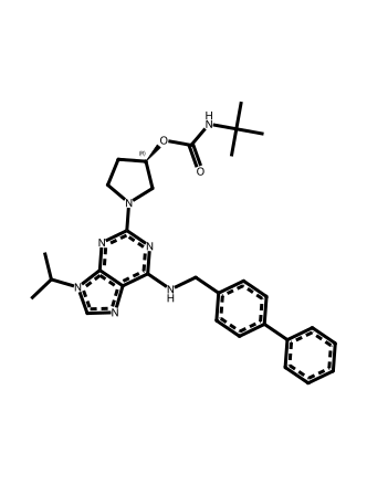 CC(C)n1cnc2c(NCc3ccc(-c4ccccc4)cc3)nc(N3CC[C@@H](OC(=O)NC(C)(C)C)C3)nc21